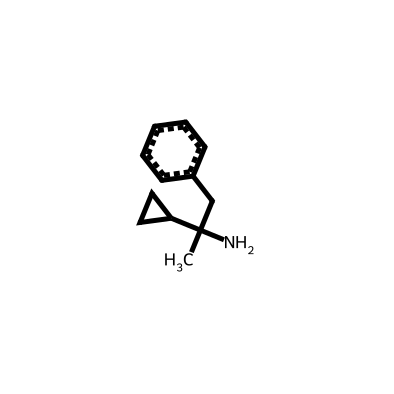 CC(N)(Cc1ccccc1)C1CC1